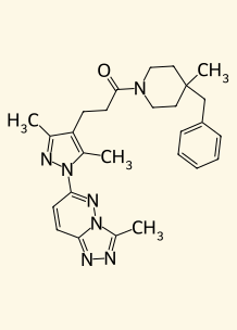 Cc1nn(-c2ccc3nnc(C)n3n2)c(C)c1CCC(=O)N1CCC(C)(Cc2ccccc2)CC1